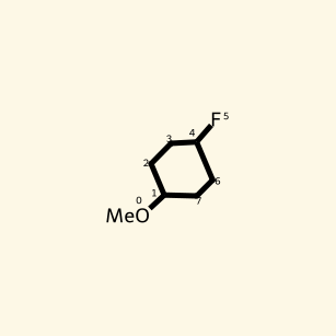 COC1CC[C](F)CC1